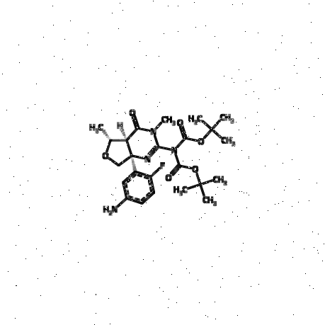 C[C@H]1OC[C@]2(c3cc(N)ccc3F)N=C(N(C(=O)OC(C)(C)C)C(=O)OC(C)(C)C)N(C)C(=O)[C@H]12